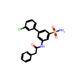 NS(=O)(=O)c1cc(NC(=O)Cc2ccccc2)cc(-c2cccc(Cl)c2)c1